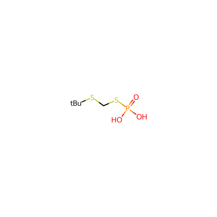 CC(C)(C)SCSP(=O)(O)O